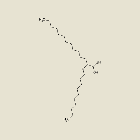 CCCCCCCCCCCCC(OCCCCCCCCCC)C(O)S